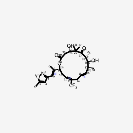 C/C(=C\c1cc(C)on1)[C@@H]1C/C=C(/C(F)(F)F)C/C=C/[C@H](C)[C@H](O)[C@@H](C)C(=O)C(C)(C)[C@@H](O)CC(=O)O1